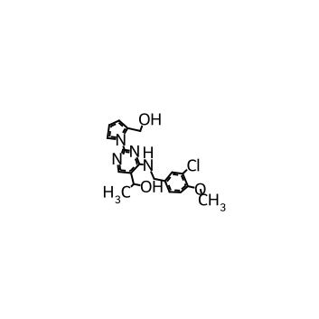 COc1ccc(CNc2nc(-n3cccc3CO)ncc2C(C)O)cc1Cl